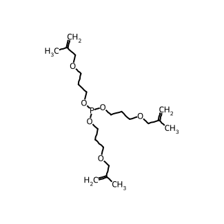 C=C(C)COCCCOP(OCCCOCC(=C)C)OCCCOCC(=C)C